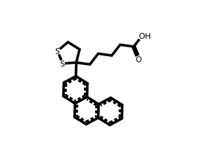 O=C(O)CCCCC1(c2ccc3ccc4ccccc4c3c2)CCSS1